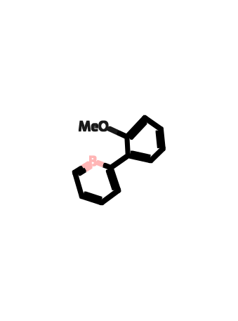 COc1ccccc1-c1bcccc1